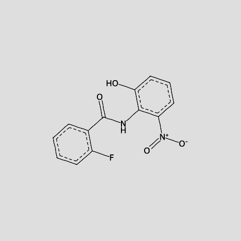 O=C(Nc1c(O)cccc1[N+](=O)[O-])c1ccccc1F